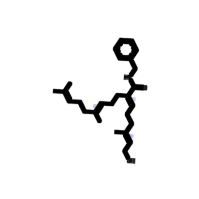 CC(C)=CCC/C(C)=C/CC/C(=C\CC/C(C)=C/CO)C(=O)NCc1ccccc1